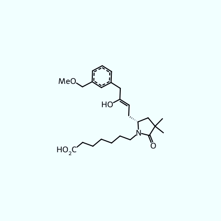 COCc1cccc(C/C(O)=C/C[C@@H]2CC(C)(C)C(=O)N2CCCCCCC(=O)O)c1